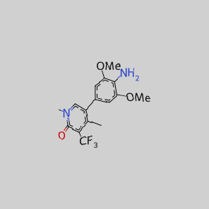 COc1cc(-c2cn(C)c(=O)c(C(F)(F)F)c2C)cc(OC)c1N